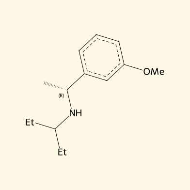 CCC(CC)N[C@H](C)c1cccc(OC)c1